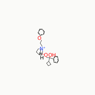 OC(CO[C@@H]1C[N+]2(CCCOc3ccccc3)CCC1CC2)(c1ccccc1)C1CCC1